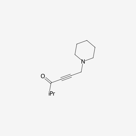 CC(C)C(=O)C#CCN1CCCCC1